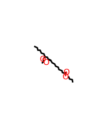 CCCCCCC(CC=CCCCCCCCC(=O)OCCCC)OC(C)=O